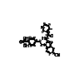 N#Cc1ccc2c(c1)nc(NC(=O)c1cccnc1)n2CCc1ccc(P(=O)(O)O)cc1